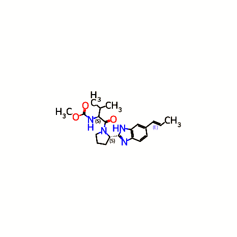 C/C=C/c1ccc2nc([C@@H]3CCCN3C(=O)[C@@H](NC(=O)OC)C(C)C)[nH]c2c1